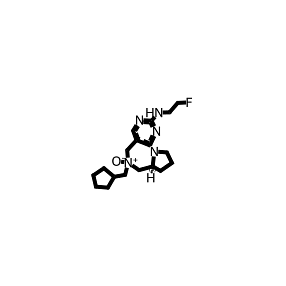 [O-][N+]1(CC2CCCC2)Cc2cnc(NCCF)nc2N2CCC[C@H]2C1